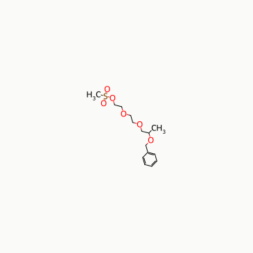 CC(COCCOCCOS(C)(=O)=O)OCc1ccccc1